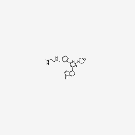 CNCCNCc1cccc(-c2nc(-c3cccc4[nH]ccc34)nc(N3CCOCC3)n2)c1